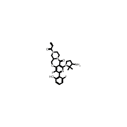 C=CC(=O)N1CCN2C(=O)c3c(N4CCC(N)C4(C)C)nc(-c4c(O)cccc4F)c(F)c3OCC2C1